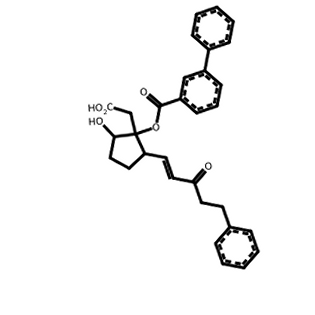 O=C(O)CC1(OC(=O)c2cccc(-c3ccccc3)c2)C(O)CCC1C=CC(=O)CCc1ccccc1